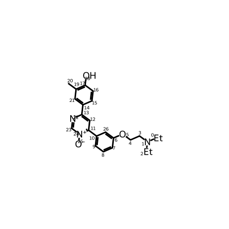 CCN(CC)CCOc1cccc(-c2cc(-c3ccc(O)c(C)c3)nc[n+]2[O-])c1